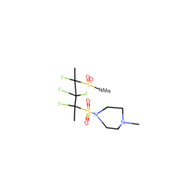 CNS(=O)(=O)C(C)(F)C(F)(F)C(C)(F)S(=O)(=O)N1CCN(C)CC1